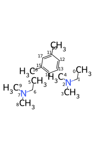 CCN(C)C.CCN(C)C.Cc1cccc(C)c1